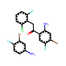 Nc1cc(Br)c(F)cc1C(=O)Cc1c(F)cccc1Cl.Nc1ccc(F)c(Br)c1